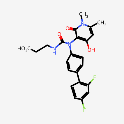 Cc1cc(O)c(N(C(=O)NCCC(=O)O)c2ccc(-c3ccc(F)cc3F)cc2)c(=O)n1C